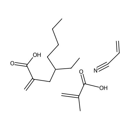 C=C(C)C(=O)O.C=C(CC(CC)CCCC)C(=O)O.C=CC#N